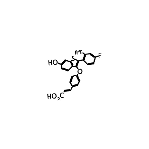 CC(C)c1cc(F)ccc1-c1sc2cc(O)ccc2c1Oc1ccc(C=CC(=O)O)cc1